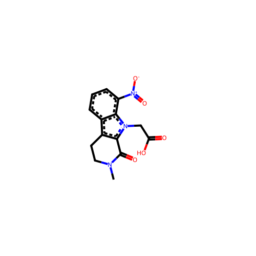 CN1CCc2c(n(CC(=O)O)c3c([N+](=O)[O-])cccc23)C1=O